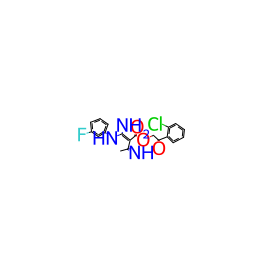 CC(=N)/C(C(=O)OCC(=O)c1ccccc1Cl)=C(/N)Nc1cccc(F)c1